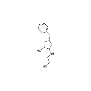 OCCNC1CN(Cc2ccccc2)CC1O